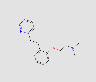 CN(C)CCOc1ccccc1CCc1ccccn1